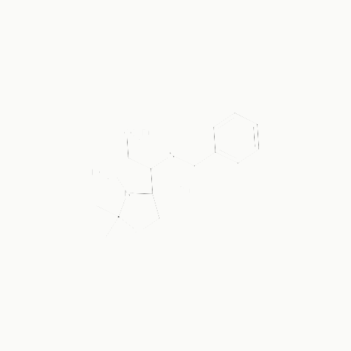 CCOC(=O)CC(NCc1ccccc1)[C@@]1(C(C)(C)C)COC(C)(C)N1C(=O)O